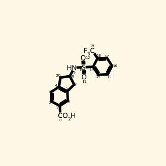 O=C(O)c1ccc2c(c1)CC(NS(=O)(=O)c1ccccc1C(F)(F)F)C2